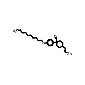 CCCCCCCCCCOc1ccc(C2(C#N)CCC(CCC)CC2)cc1